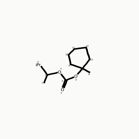 CC(C)C(C)OC(=O)OC1(C)CCCCC1